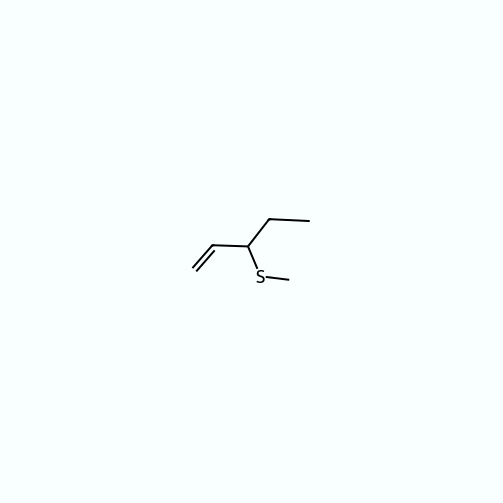 C=CC(CC)SC